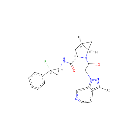 CC(=O)c1nn(CC(=O)N2[C@@H]3C[C@@H]3C[C@H]2C(=O)N[C@@H]2C[C@@]2(F)c2ccccc2)c2cnccc12